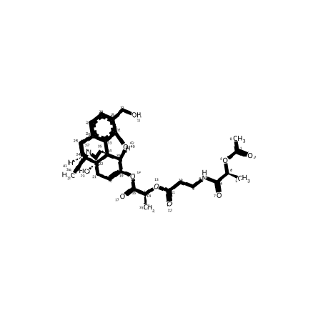 CC(=O)O[C@@H](C)C(=O)NCCC(=O)O[C@@H](C)C(=O)OC1=CC[C@@]2(O)[C@H]3Cc4ccc(CO)c5c4[C@@]2(CCN3C)[C@H]1O5